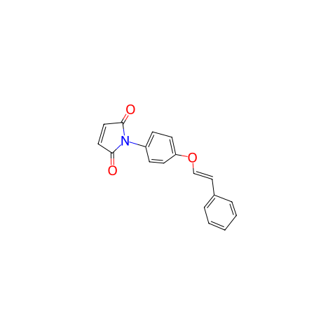 O=C1C=CC(=O)N1c1ccc(OC=Cc2ccccc2)cc1